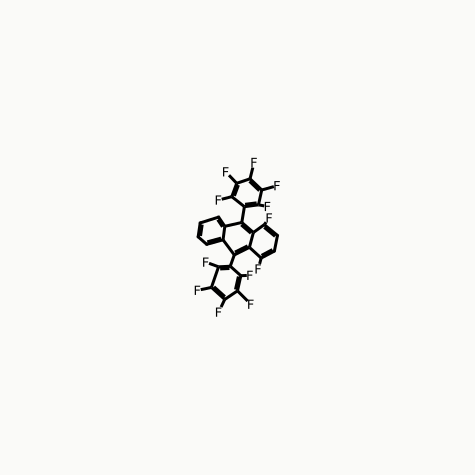 Fc1c(F)c(F)c(-c2c3ccccc3c(-c3c(F)c(F)c(F)c(F)c3F)c3c(F)ccc(F)c23)c(F)c1F